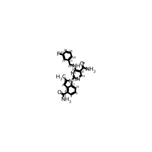 Cc1cc2c(C(N)=O)cccc2n1-c1ncc(C(N)=O)c(NCc2cccc(F)c2)n1